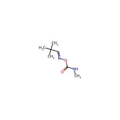 CNC(=O)O/N=C/C(C)(C)C